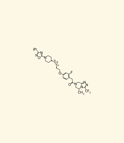 CC(C)c1noc(N2CCC([C@H]3C[C@H]3CCOc3ccc(CC(=O)N4Cc5nnc(C(F)(F)F)n5C(C)C4)c(F)c3)CC2)n1